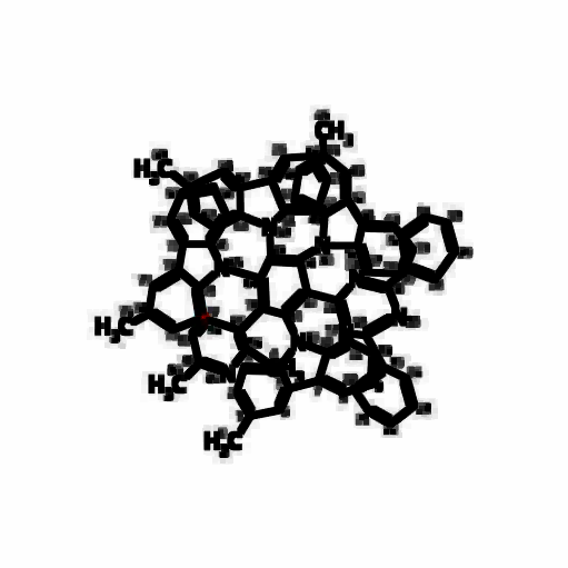 Cc1ccc2c(c1)c1ccccc1n2-c1c(-c2nc(-c3ccccc3)nc(-c3ccccc3)n2)c(-n2c3ccccc3c3cc(C)ccc32)c(-n2c3ccccc3c3cc(C)ccc32)c(-n2c3ccccc3c3cc(C)ccc32)c1-c1ccc(C)nc1C